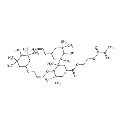 C=CSC1CC(C)(C)N(O)C(C)(C2(C)CC([PH](=O)OCCOC(=O)C(=C)C)CC(C)(C)N2O/C=C\CSC2CC(C)(C)N(O)C(C)(C)C2)C1